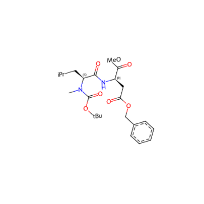 COC(=O)[C@@H](CC(=O)OCc1ccccc1)NC(=O)[C@H](CC(C)C)N(C)C(=O)OC(C)(C)C